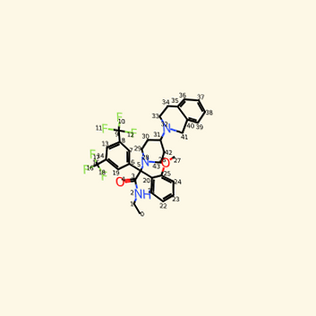 CCNC(=O)C(c1cc(C(F)(F)F)cc(C(F)(F)F)c1)(c1ccccc1OC)N1CCC(N2CCc3ccccc3C2)CC1